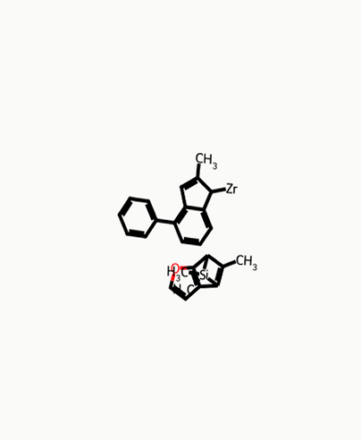 CC1=C2c3ccoc3C1[Si]2(C)C.CC1=Cc2c(-c3ccccc3)cccc2[CH]1[Zr]